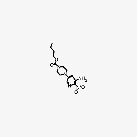 CCCCOC(=O)N1CCN(c2cnc([N+](=O)[O-])c(N)c2)CC1